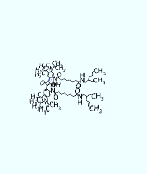 CCCCC(CC)CNC(=O)CCCCCCC(=O)Nc1cc2c(cc1C1=C(O)/C(=c3/cc4c(cc3NC(=O)CCCCCCC(=O)NCC(CC)CCCC)=[N+](C(C)C)C(C)C4(C)C)C1=O)C(C)(C)C(C)N2C(C)C